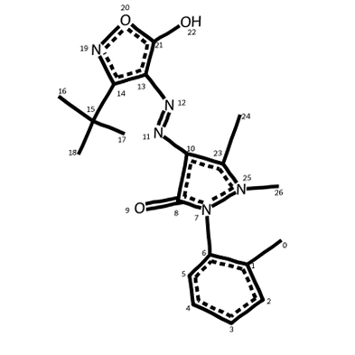 Cc1ccccc1-n1c(=O)c(N=Nc2c(C(C)(C)C)noc2O)c(C)n1C